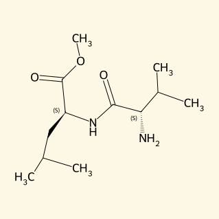 COC(=O)[C@H](CC(C)C)NC(=O)[C@@H](N)C(C)C